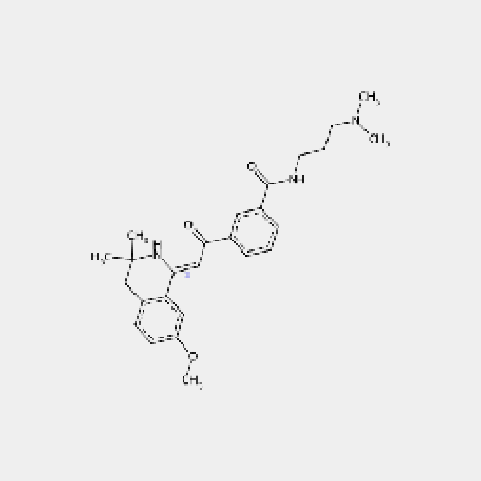 COc1ccc2c(c1)/C(=C/C(=O)c1cccc(C(=O)NCCCN(C)C)c1)NC(C)(C)C2